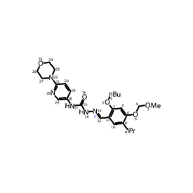 CCCCOc1cc(OCOC)c(C(C)C)cc1/C=N/NC(=O)Nc1ccc(N2CCOCC2)nc1